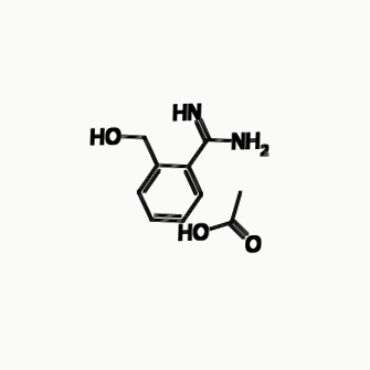 CC(=O)O.N=C(N)c1ccccc1CO